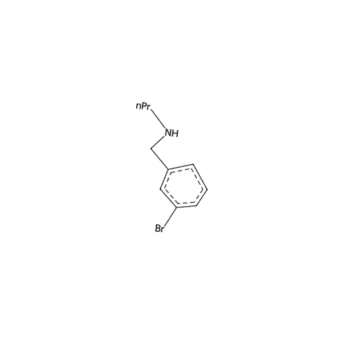 CCCNCc1cccc(Br)c1